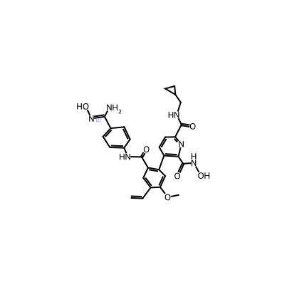 C=Cc1cc(C(=O)Nc2ccc(/C(N)=N/O)cc2)c(-c2ccc(C(=O)NCC3CC3)nc2C(=O)NO)cc1OC